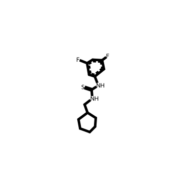 Fc1cc(F)cc(NC(=S)NCC2CCCCC2)c1